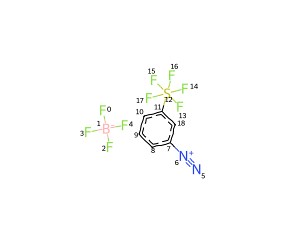 F[B-](F)(F)F.N#[N+]c1cccc(S(F)(F)(F)(F)F)c1